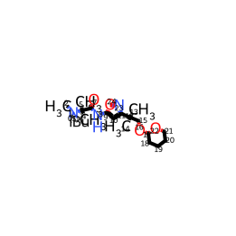 CC[C@H](C)N(C)C(C)(C)C(=O)Nc1cc(C(C)(C)COC2CCCCO2)no1